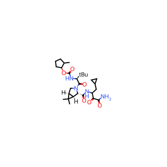 CC1CCC[C@@H]1OC(=O)N[C@H](C(=O)N1C[C@H]2[C@@H]([C@H]1C(=O)NC(CC1CC1)C(=O)C(N)=O)C2(C)C)C(C)(C)C